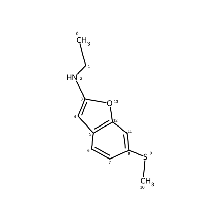 CCNc1cc2ccc(SC)cc2o1